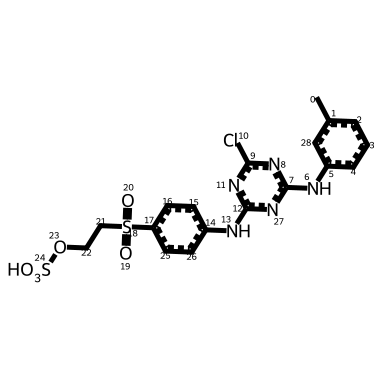 Cc1cccc(Nc2nc(Cl)nc(Nc3ccc(S(=O)(=O)CCOS(=O)(=O)O)cc3)n2)c1